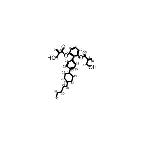 C=C(CO)C(=O)Oc1cccc(OC(=O)C(=C)CO)c1-c1ccc(C2CCC(CCCCC)CC2)cc1